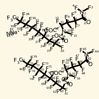 O=C(N(F)F)C(F)(F)C(F)(F)[C@@](F)(C(=O)[O-])N(F)S(=O)(=O)C(F)(F)C(F)(F)C(F)(F)C(F)(F)C(F)(F)C(F)(F)C(F)(F)C(F)(F)F.O=C(N(F)F)C(F)(F)C(F)(F)[C@@](F)(C(=O)[O-])N(F)S(=O)(=O)C(F)(F)C(F)(F)C(F)(F)C(F)(F)C(F)(F)C(F)(F)C(F)(F)C(F)(F)F.[Na+].[Na+]